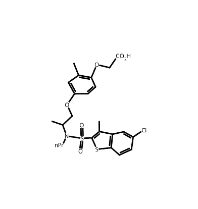 CCCN(C(C)COc1ccc(OCC(=O)O)c(C)c1)S(=O)(=O)c1sc2ccc(Cl)cc2c1C